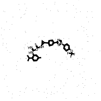 Cc1ccc(C(C)C)c(NC(=N)OC(=S)NC2CC2c2ccc(-c3ncn(-c4ccc(OC(F)(F)F)cc4)n3)cc2)c1